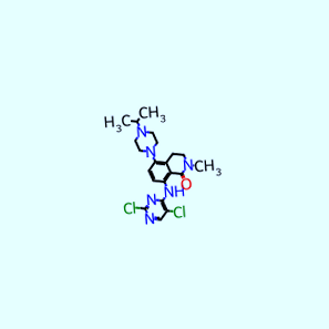 CC(C)N1CCN(c2ccc(Nc3nc(Cl)ncc3Cl)c3c2CCN(C)C3=O)CC1